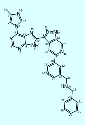 Cc1cn(-c2ccnc3[nH]c(-c4n[nH]c5cnc(-c6cncc(CNCc7ccccc7)c6)cc45)nc23)cn1